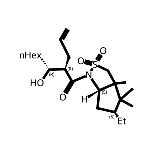 C=CC[C@@H](C(=O)N1[C@H]2C[C@H](CC)C(C)(C)C2(C)CS1(=O)=O)[C@H](O)CCCCCC